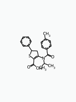 Cc1ccc(C(=O)N(C2=C(C(=O)O)SC(c3ccccc3)C2)C(C)C)cc1